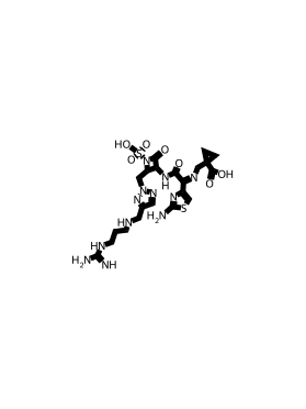 N=C(N)NCCCNCc1cnn(CC2C(NC(=O)/C(=N\CC3(C(=O)O)CC3)c3csc(N)n3)C(=O)N2S(=O)(=O)O)n1